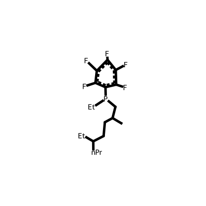 CCCC(CC)CCC(C)CP(CC)c1c(F)c(F)c(F)c(F)c1F